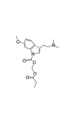 CCC(=O)OCOC(=O)n1cc(CCN(C)C)c2ccc(OC)cc21